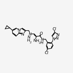 N/C(=C\N(N)Cc1cn2cc(C3CC3)ccc2n1)C(=O)NCc1cc(Cl)ccc1-n1cc(Cl)nn1